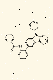 O=C(Nc1ccccc1-c1ccc2c(c1)c1ccccc1n2-c1ccccc1)C1=CCCC=C1